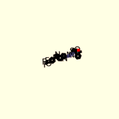 CC(C)c1ccccc1N1C(=O)CS/C1=N\N=C\c1ccc2c(ccc3c2ncn3-c2ccc(OC(F)(F)F)cc2)n1